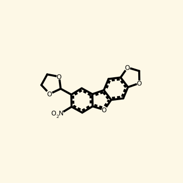 O=[N+]([O-])c1cc2oc3cc4c(cc3c2cc1C1OCCO1)OCO4